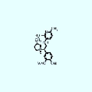 COc1cc(C(CNc2ccc(C)nc2C)P2(=S)CC[C@@H](C)C2)ccc1O